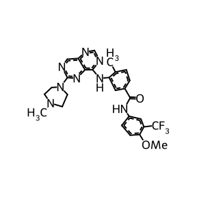 COc1ccc(NC(=O)c2ccc(C)c(Nc3ncnc4cnc(N5CCN(C)CC5)nc34)c2)cc1C(F)(F)F